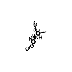 CC#Cc1cc(Nc2ncnc3cc(OCCOC)ccc23)cc(OCCOCC)c1C